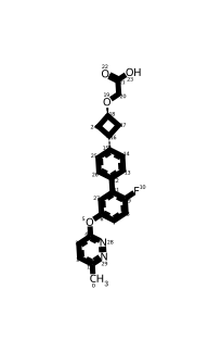 Cc1ccc(Oc2ccc(F)c(-c3ccc([C@H]4C[C@@H](OCC(=O)O)C4)cc3)c2)nn1